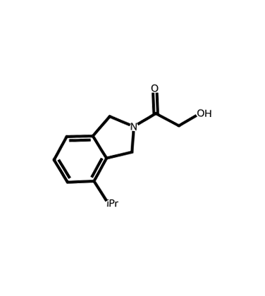 CC(C)c1cccc2c1CN(C(=O)CO)C2